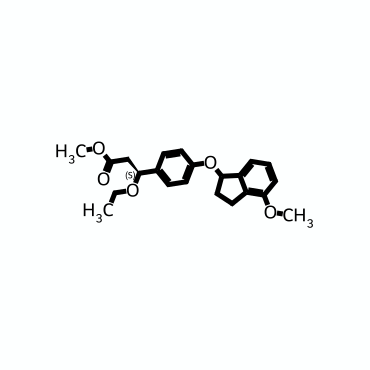 CCO[C@@H](CC(=O)OC)c1ccc(OC2CCc3c(OC)cccc32)cc1